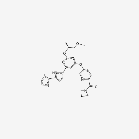 COC[C@H](C)Oc1cc(Oc2cnc(C(=O)N3CCC3)cn2)cc(-c2ccc(-c3nccs3)[nH]2)c1